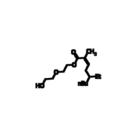 CCCCC(CC)CC=C(C)C(=O)OCCOCCO